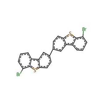 Brc1cccc2c1sc1ccc(-c3ccc4sc5c(Br)cccc5c4c3)cc12